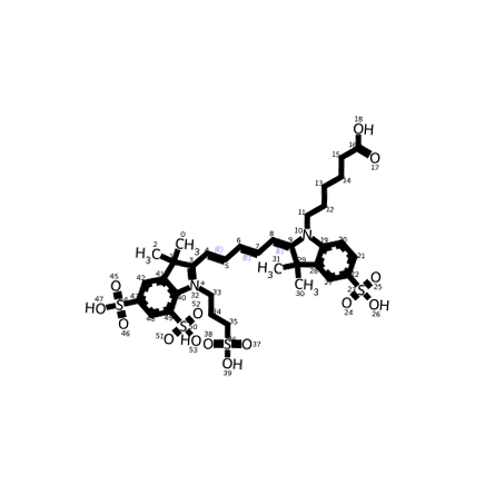 CC1(C)C(/C=C/C=C/C=C2/N(CCCCCC(=O)O)c3ccc(S(=O)(=O)O)cc3C2(C)C)=[N+](CCCS(=O)(=O)O)c2c1cc(S(=O)(=O)O)cc2S(=O)(=O)O